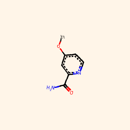 [CH2]COc1ccnc(C(N)=O)c1